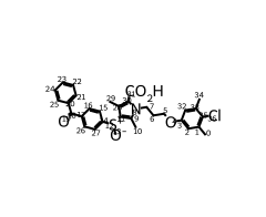 Cc1cc(OCCCn2c(C)c([S+]([O-])c3ccc(C(=O)c4ccccc4)cc3)c(C)c2C(=O)O)cc(C)c1Cl